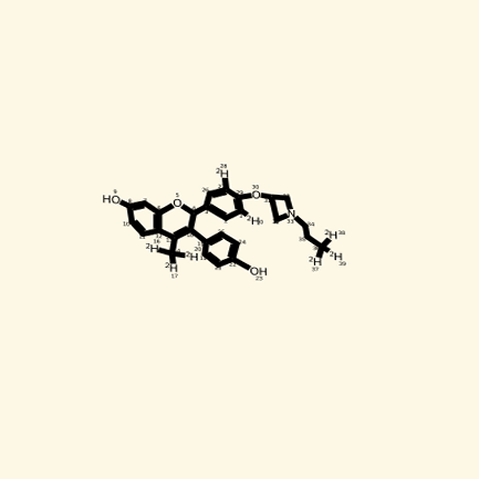 [2H]c1cc(C2Oc3cc(O)ccc3C(C([2H])([2H])[2H])=C2c2ccc(O)cc2)cc([2H])c1OC1CN(CCC([2H])([2H])[2H])C1